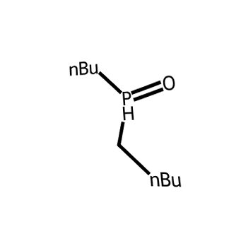 CCCCC[PH](=O)CCCC